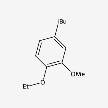 CCOc1ccc(C(C)CC)cc1OC